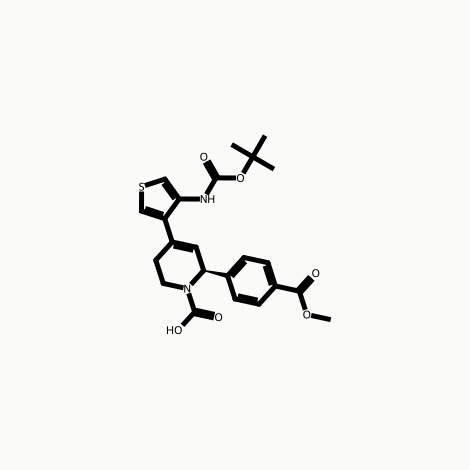 COC(=O)c1ccc([C@@H]2C=C(c3cscc3NC(=O)OC(C)(C)C)CCN2C(=O)O)cc1